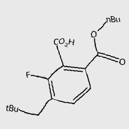 CCCCOC(=O)c1ccc(CC(C)(C)C)c(F)c1C(=O)O